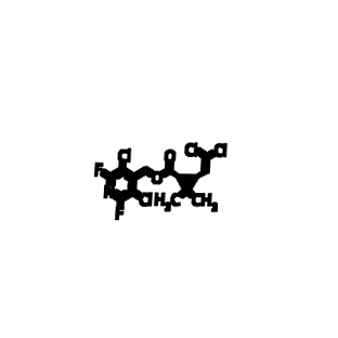 CC1(C)[C@H](C=C(Cl)Cl)[C@@H]1C(=O)OCc1c(Cl)c(F)nc(F)c1Cl